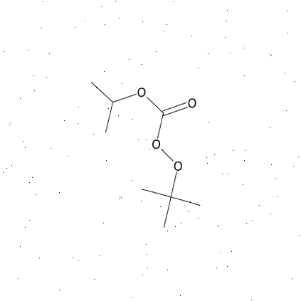 CC(C)OC(=O)OOC(C)(C)C